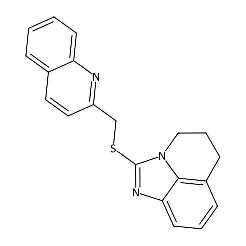 c1ccc2nc(CSc3nc4cccc5c4n3CCC5)ccc2c1